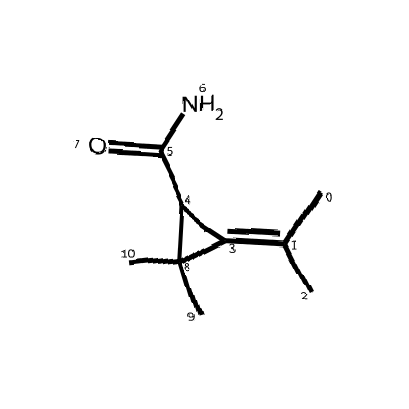 CC(C)=C1C(C(N)=O)C1(C)C